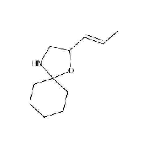 CC=CC1CNC2(CCCCC2)O1